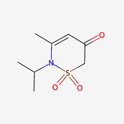 CC1=CC(=O)CS(=O)(=O)N1C(C)C